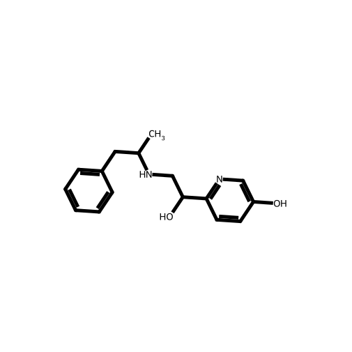 CC(Cc1ccccc1)NCC(O)c1ccc(O)cn1